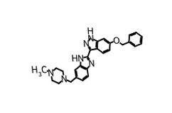 CN1CCN(Cc2ccc3nc(-c4n[nH]c5cc(OCc6ccccc6)ccc45)[nH]c3c2)CC1